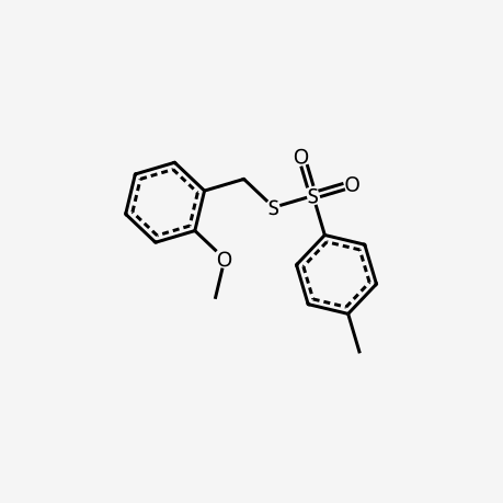 COc1ccccc1CSS(=O)(=O)c1ccc(C)cc1